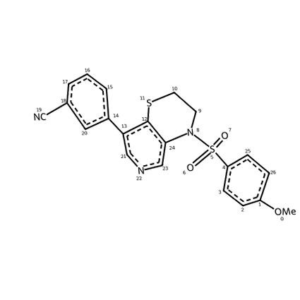 COc1ccc(S(=O)(=O)N2CCSc3c(-c4cccc(C#N)c4)cncc32)cc1